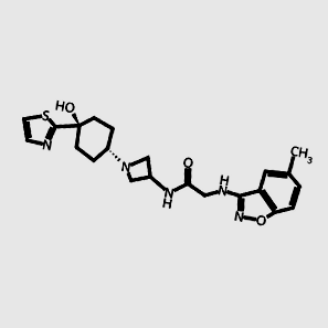 Cc1ccc2onc(NCC(=O)NC3CN([C@H]4CC[C@@](O)(c5nccs5)CC4)C3)c2c1